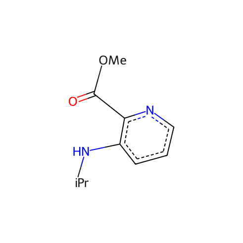 COC(=O)c1ncccc1NC(C)C